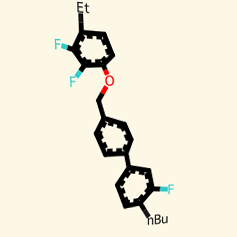 CCCCc1ccc(-c2ccc(COc3ccc(CC)c(F)c3F)cc2)cc1F